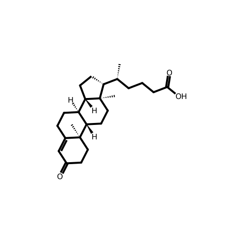 C[C@H](CCCC(=O)O)[C@H]1CC[C@H]2[C@@H]3CCC4=CC(=O)CC[C@]4(C)[C@H]3CC[C@]12C